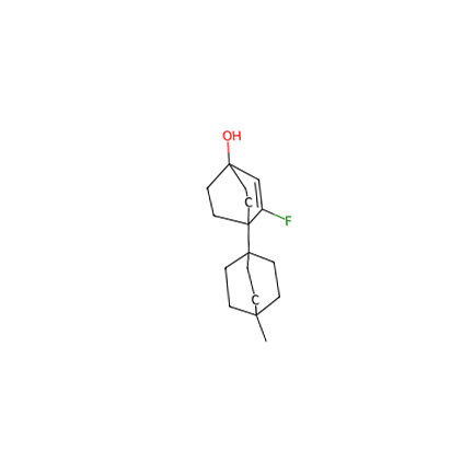 CC12CCC(C34CCC(O)(C=C3F)CC4)(CC1)CC2